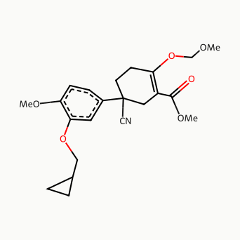 COCOC1=C(C(=O)OC)CC(C#N)(c2ccc(OC)c(OCC3CC3)c2)CC1